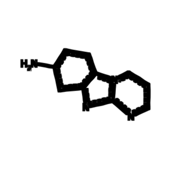 Nc1ccc2c(c1)nc1ncccn12